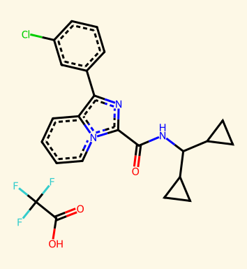 O=C(NC(C1CC1)C1CC1)c1nc(-c2cccc(Cl)c2)c2ccccn12.O=C(O)C(F)(F)F